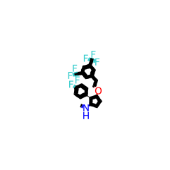 CN[C@@H]1CC[C@H](OCCc2cc(C(F)(F)F)cc(C(F)(F)F)c2)[C@H]1c1ccc(F)cc1